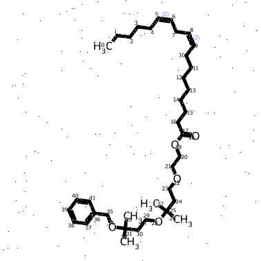 CCCCC/C=C\C/C=C\CCCCCCCC(=O)OCCOCCC(C)(C)OCCC(C)(C)OCc1ccccc1